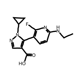 CCNc1ccc(-c2c(C(=O)O)cnn2C2CC2)c(F)n1